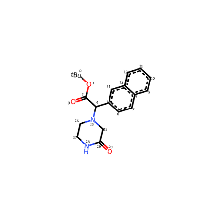 CC(C)(C)OC(=O)C(c1ccc2ccccc2c1)N1CCNC(=O)C1